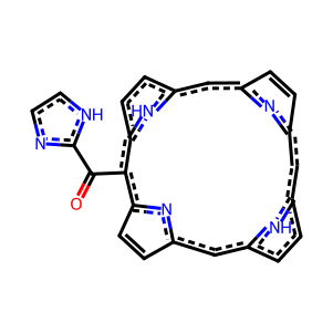 O=C(c1ncc[nH]1)c1c2nc(cc3ccc(cc4nc(cc5ccc1[nH]5)C=C4)[nH]3)C=C2